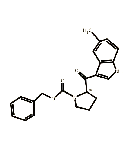 Cc1ccc2[nH]cc(C(=O)[C@H]3CCCN3C(=O)OCc3ccccc3)c2c1